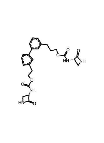 O=C(N[C@H]1CNC1=O)OCCCc1cccc(-c2cccc(CCOC(=O)N[C@H]3CNC3=O)c2)c1